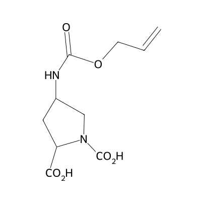 C=CCOC(=O)NC1CC(C(=O)O)N(C(=O)O)C1